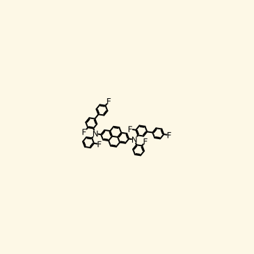 Fc1ccc(-c2ccc(F)c(N(c3cc4ccc5cc(N(c6ccccc6F)c6cc(-c7ccc(F)cc7)ccc6F)cc6ccc(c3)c4c56)c3ccccc3F)c2)cc1